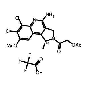 COc1cc2c3c(c(N)nc2c(Cl)c1Cl)CN(C(=O)COC(C)=O)[C@H]3C.O=C(O)C(F)(F)F